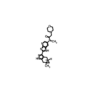 CN(C(=O)CN1CCOCC1)c1cnc2nc(-c3n[nH]c4c3C[C@@H]3C[C@]3(C)C4)[nH]c2c1